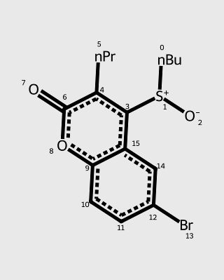 CCCC[S+]([O-])c1c(CCC)c(=O)oc2ccc(Br)cc12